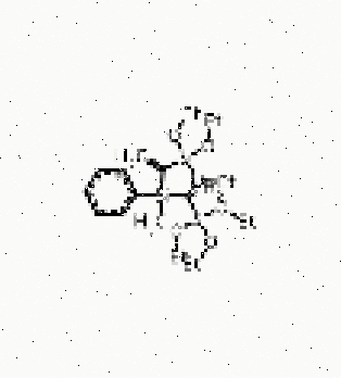 C=C([Si](OCC)(OCC)OCC)[Si](C)(C(=C)[Si](OCC)(OCC)OCC)c1ccccc1